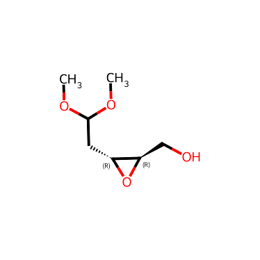 COC(C[C@H]1O[C@@H]1CO)OC